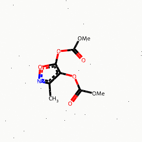 COC(=O)Oc1onc(C)c1OC(=O)OC